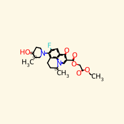 CCOC(=O)COC(=O)c1cn2c3c(c(N4CC[C@H](O)[C@@H](C)C4)c(F)cc3c1=O)CC[C@@H]2C